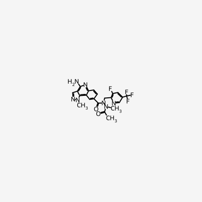 CC(=O)N(C)N(Cc1ncc(C(F)(F)F)cc1F)C(=O)c1ccc2nc(N)c3cnn(C)c3c2c1